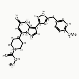 COc1ccc(Cc2nc(-c3cnn4c(C5CCN(C(=O)OC(C)(C)C)CC5)cc(=O)[nH]c34)no2)cn1